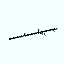 CCCCCCCCCCCCCCCCOC(=O)CCCCCCCCCCCCCNC(CN)CCCCCCCCCCCCCC(=O)O